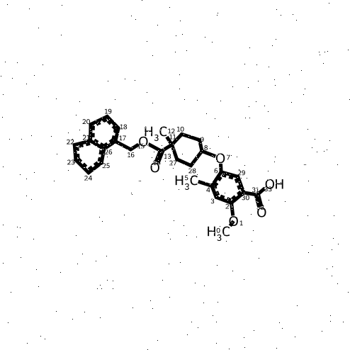 COc1cc(C)c(OC2CCC(C)(C(=O)OCc3cccc4ccccc34)CC2)cc1C(=O)O